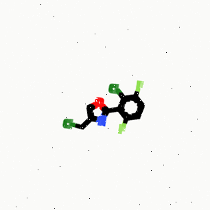 Fc1ccc(F)c(-c2nc(CCl)co2)c1Cl